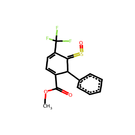 COC(=O)C1=CC=C(C(F)(F)F)C(=S=O)C1c1ccccc1